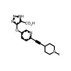 O=C(O)c1[nH]nnc1Oc1ccc(C#CC2CCN(I)CC2)nc1